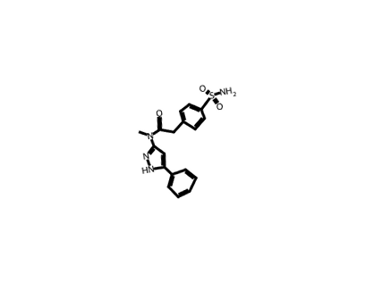 CN(C(=O)Cc1ccc(S(N)(=O)=O)cc1)c1cc(-c2ccccc2)[nH]n1